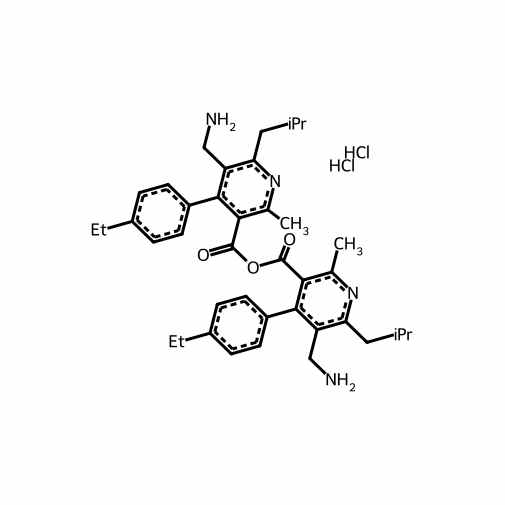 CCc1ccc(-c2c(CN)c(CC(C)C)nc(C)c2C(=O)OC(=O)c2c(C)nc(CC(C)C)c(CN)c2-c2ccc(CC)cc2)cc1.Cl.Cl